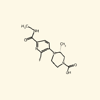 CNC(=O)c1ccc(N2CCN(C(=O)O)C[C@H]2C)c(F)n1